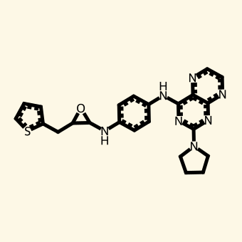 c1csc(CC2OC2Nc2ccc(Nc3nc(N4CCCC4)nc4nccnc34)cc2)c1